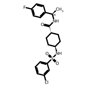 C[C@@H](NC(=O)[C@H]1CC[C@H](NS(=O)(=O)c2cccc(Cl)c2)CC1)c1ccc(F)cc1